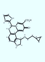 O=C(O)c1cn2c(cc1=O)-c1c(ccc3c1C(OCCC1CC1)CO3)OC2c1nccs1